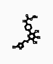 CCc1c(C#N)c(SCc2cnn(CC)c2)nc(N2CCC(NC(=O)OC(C)(C)C)CC2)c1C#N